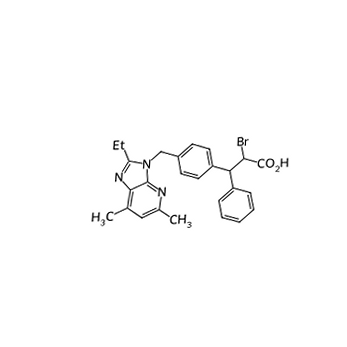 CCc1nc2c(C)cc(C)nc2n1Cc1ccc(C(c2ccccc2)C(Br)C(=O)O)cc1